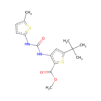 COC(=O)c1sc(C(C)(C)C)cc1NC(=O)Nc1ccc(C)s1